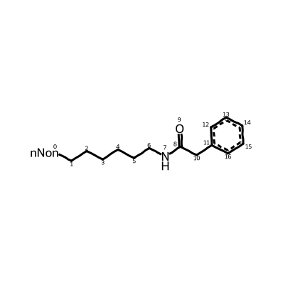 CCCCCCCCCCCCCCCNC(=O)Cc1ccccc1